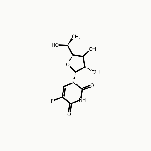 C[C@H](O)[C@H]1O[C@@H](n2cc(F)c(=O)[nH]c2=O)[C@@H](O)C1O